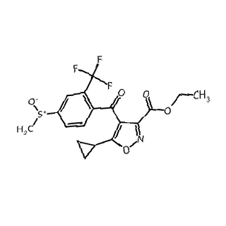 CCOC(=O)c1noc(C2CC2)c1C(=O)c1ccc([S+](C)[O-])cc1C(F)(F)F